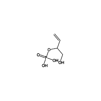 C=CC(CO)OP(=O)(O)O